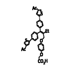 CCC(COc1ccc(OCC(=O)O)cc1)=C(c1ccc(-c2cc(C(C)=O)cs2)cc1)c1ccc(-c2cc(C(C)=O)cs2)cc1